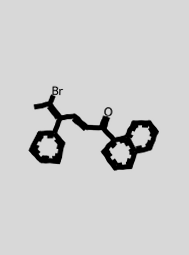 C/C(Br)=C(/C=C/C(=O)c1cccc2ccccc12)c1ccccc1